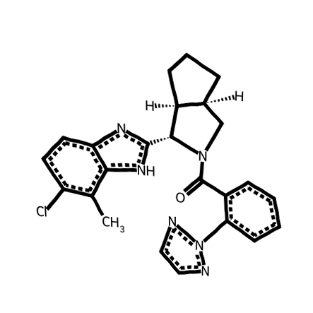 Cc1c(Cl)ccc2nc([C@@H]3[C@H]4CCC[C@H]4CN3C(=O)c3ccccc3-n3nccn3)[nH]c12